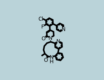 CC1CCC[C@H](N2CCC(c3c(-c4ccncc4)ccc(Cl)c3F)=CC2=O)c2cc(ccn2)-c2ccccc2NC1=O